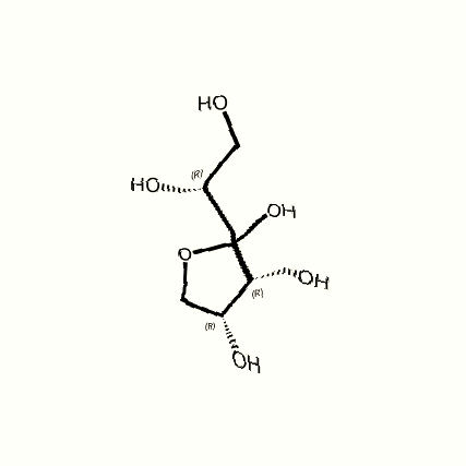 OC[C@@H](O)C1(O)OC[C@@H](O)[C@H]1O